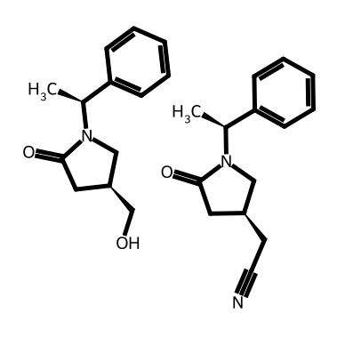 C[C@@H](c1ccccc1)N1C[C@@H](CC#N)CC1=O.C[C@@H](c1ccccc1)N1C[C@@H](CO)CC1=O